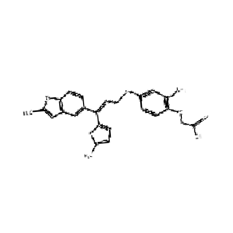 Cc1cc2cc(/C(=C/COc3ccc(OCC(=O)O)c(C)c3)c3ccc(C)s3)ccc2o1